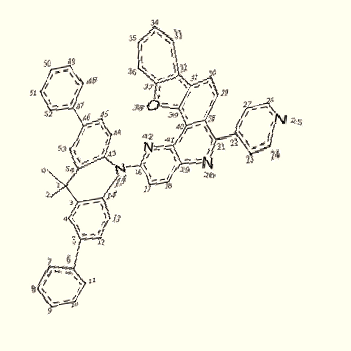 CC1(C)c2cc(-c3ccccc3)ccc2N(c2ccc3nc(-c4ccncc4)c4ccc5c6ccccc6oc5c4c3n2)c2ccc(-c3ccccc3)cc21